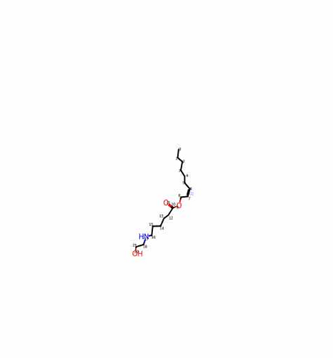 CCCCCC/C=C\COC(=O)CCCCCNCCO